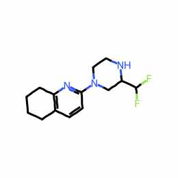 FC(F)C1CN(c2ccc3c(n2)CCCC3)CCN1